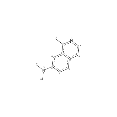 Cc1nccc2ccc(N(C)C)cc12